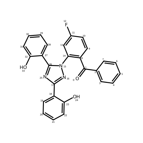 O=C(c1ccccc1)c1ccc(F)cc1-n1nc(-c2ccccc2O)nc1-c1ccccc1O